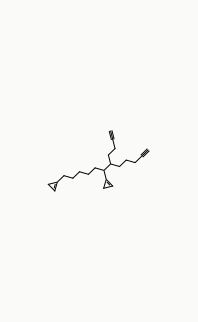 C#CCCCC(CCC#C)C(CCCCCC1=CC1)C1=CC1